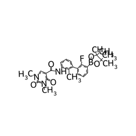 Cc1c(NC(=O)c2cn(C)c(=O)n(C)c2=O)cccc1-c1cccc(B2OC(C)(C)C(C)(C)O2)c1F